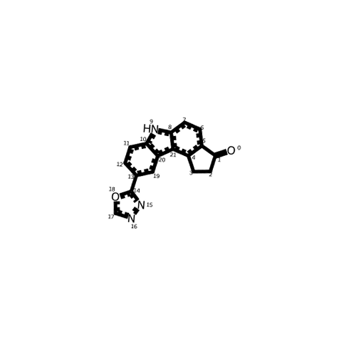 O=C1CCc2c1ccc1[nH]c3ccc(-c4nnco4)cc3c21